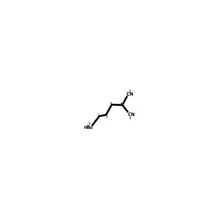 CCCCCCCC(C#N)C#N